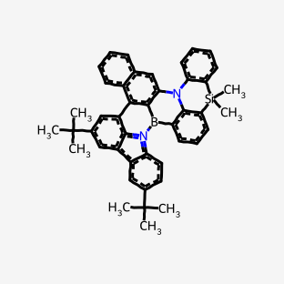 CC(C)(C)c1ccc2c(c1)c1cc(C(C)(C)C)cc3c1n2B1c2cccc4c2N(c2ccccc2[Si]4(C)C)c2cc4ccccc4c-3c21